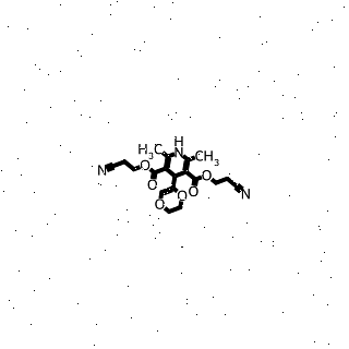 CC1=C(C(=O)OCCC#N)C(C2=COCCO2)C(C(=O)OCCC#N)=C(C)N1